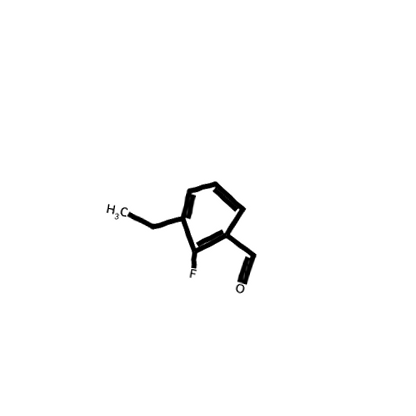 CCc1cccc(C=O)c1F